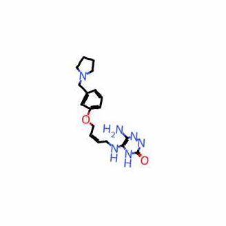 Nc1nnc(=O)[nH]c1NC/C=C\COc1cccc(CN2CCCC2)c1